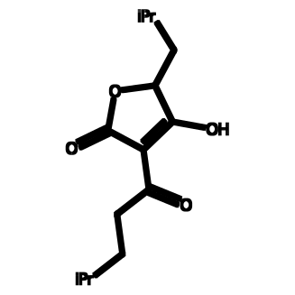 CC(C)CCC(=O)C1=C(O)C(CC(C)C)OC1=O